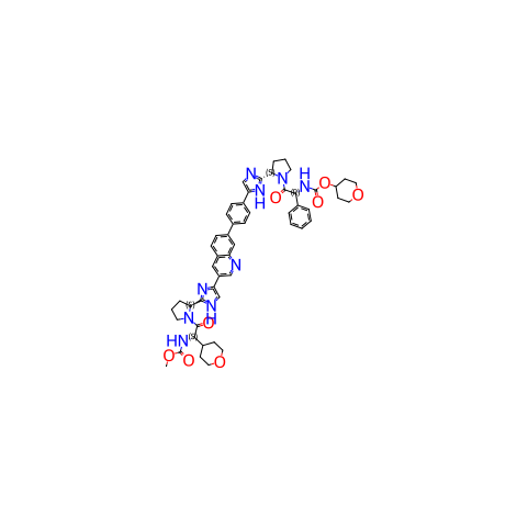 COC(=O)N[C@H](C(=O)N1CCC[C@H]1c1nc(-c2cnc3cc(-c4ccc(-c5cnc([C@@H]6CCCN6C(=O)[C@H](NC(=O)OC6CCOCC6)c6ccccc6)[nH]5)cc4)ccc3c2)c[nH]1)C1CCOCC1